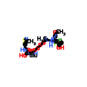 C=CC(=O)N1CCN(c2nc(NCCCN(C)CCOCCOCCOCCOCC(=O)N[C@H](C(=O)N3CC(O)CC3C(=O)NCCc3ccc(-c4scnc4C)cc3)C(C)(C)C)nc3c(F)c(-c4cc(O)cc5ccccc45)c(Cl)cc23)CC1